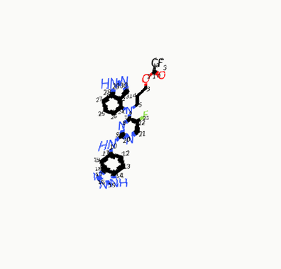 O=C(OCCCN(c1nc(Nc2ccc3[nH]nnc3c2)ncc1F)c1cccc2[nH]ncc12)C(F)(F)F